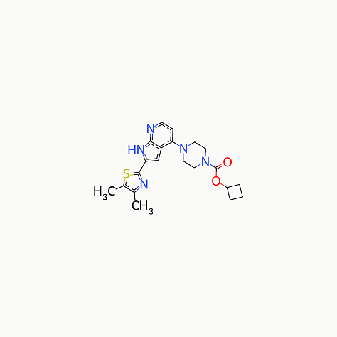 Cc1nc(-c2cc3c(N4CCN(C(=O)OC5CCC5)CC4)ccnc3[nH]2)sc1C